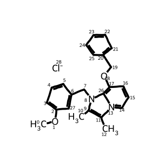 COc1cccc(Cn2c(C)c(C)[n+]3cccc(OCc4ccccc4)c23)c1.[Cl-]